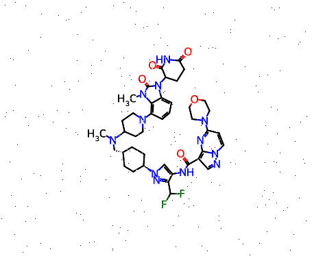 CN(C[C@H]1CC[C@H](n2cc(NC(=O)c3cnn4ccc(N5CCOCC5)nc34)c(C(F)F)n2)CC1)C1CCN(c2cccc3c2n(C)c(=O)n3C2CCC(=O)NC2=O)CC1